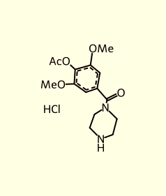 COc1cc(C(=O)N2CCNCC2)cc(OC)c1OC(C)=O.Cl